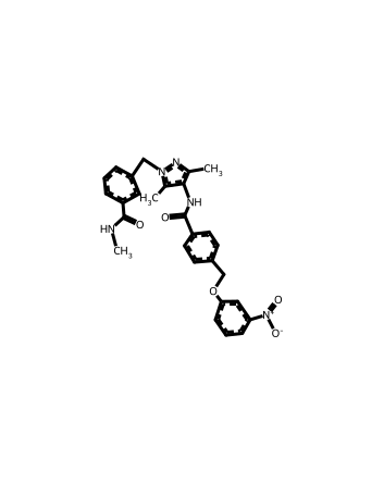 CNC(=O)c1cccc(Cn2nc(C)c(NC(=O)c3ccc(COc4cccc([N+](=O)[O-])c4)cc3)c2C)c1